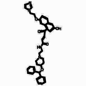 O=C(C=CC(=O)c1cc(O)cc2ccc(OCCn3ccnc3)cc12)NCCN1CCC(OC(c2ccccc2)c2ccccc2)CC1